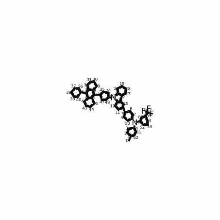 Cc1ccc(N(c2ccc(-c3ccc4c(c3)c3ccccc3n4-c3ccc(-c4c5ccccc5c(-c5ccccc5)c5ccccc45)cc3)cc2)c2cccc(C(F)(F)F)c2)cc1